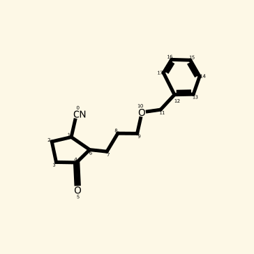 N#CC1CCC(=O)C1CCCOCc1ccccc1